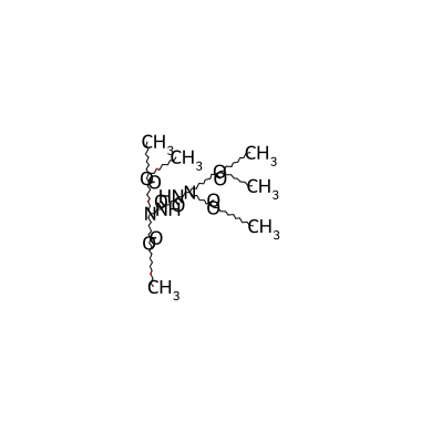 CCCCCCCCCCCOC(=O)CCCCCN(CCCCCCCC(=O)OC(CCCCCCCC)CCCCCCCC)CCNC(=O)CCC(=O)NCCN(CCCCCCCC(=O)OC(CCCCCCCC)CCCCCCCC)CCCCCC(=O)OCCCCCCCCCCC